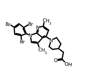 Cc1cc(N2CCC(CC(=O)O)CC2)c2c(C)cn(-c3c(Br)cc(Br)cc3Br)c2n1